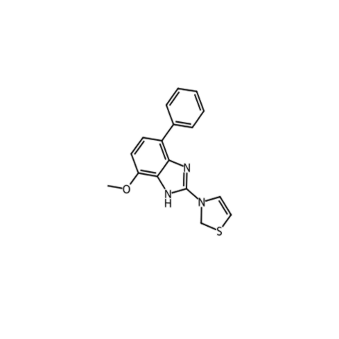 COc1ccc(-c2ccccc2)c2nc(N3C=CSC3)[nH]c12